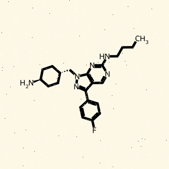 CCCCNc1ncc2c(-c3ccc(F)cc3)nn(C[C@H]3CC[C@H](N)CC3)c2n1